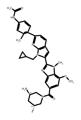 COc1cc(C(=O)N2C[C@H](N)C[C@@H](F)C2)cc2nc(-c3cc4ccc(-c5ccc(NC(C)=O)cc5C)nc4n3CC3CC3)n(C)c12